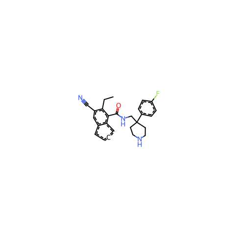 CCc1c(C#N)cc2ccccc2c1C(=O)NCC1(c2ccc(F)cc2)CCNCC1